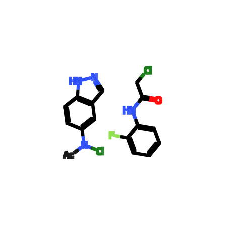 CC(=O)N(Cl)c1ccc2[nH]ncc2c1.O=C(CCl)Nc1ccccc1F